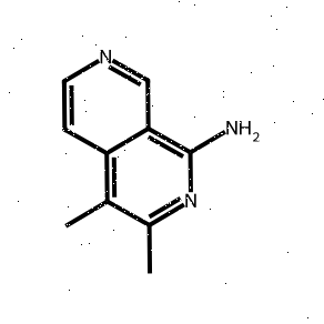 Cc1nc(N)c2cnccc2c1C